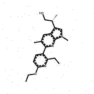 CCOc1ccc(-c2nc3c(cc2C)c([C@@H](C)CO)cn3C)c(CC)n1